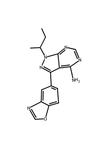 CCC(C)n1nc(-c2ccc3ocnc3c2)c2c(N)ncnc21